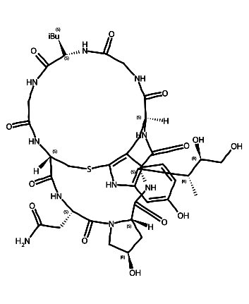 CC[C@H](C)[C@@H]1NC(=O)CNC(=O)[C@@H]2Cc3c([nH]c4cc(O)ccc34)SC[C@@H](NC(=O)CNC1=O)C(=O)N[C@@H](CC(N)=O)C(=O)N1C[C@H](O)C[C@H]1C(=O)N[C@@H]([C@@H](C)[C@@H](O)CO)C(=O)N2